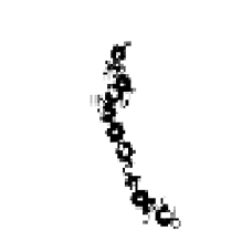 O=C1CCC(N2Cc3cc(N4CC(OCC5CCN(c6ccc(-c7cnc8[nH]cc(C(=O)c9c(F)ccc(NS(=O)(=O)N%10CC[C@@H](F)C%10)c9F)c8c7)cc6)CC5)C4)ccc3C2=O)C(=O)N1